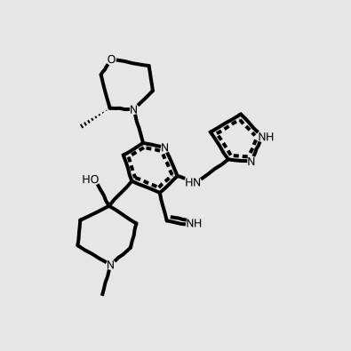 C[C@@H]1COCCN1c1cc(C2(O)CCN(C)CC2)c(C=N)c(Nc2cc[nH]n2)n1